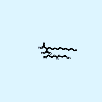 CCCCCCCCCCCC(C(=O)O)C(=O)O.OCCONOCCO